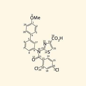 COc1ccc(-c2cccc(N(C(=O)c3ccc(Cl)cc3Cl)c3nc(C(=O)O)cs3)c2)cc1